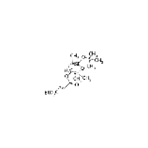 CCOC(=O)C=CC(=O)OCCC(C)[SiH](O[Si](C)(C)C)O[Si](C)(C)C